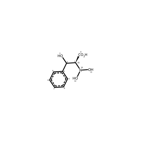 O=C(O)[C@H](C(O)c1ccccc1)N(O)O